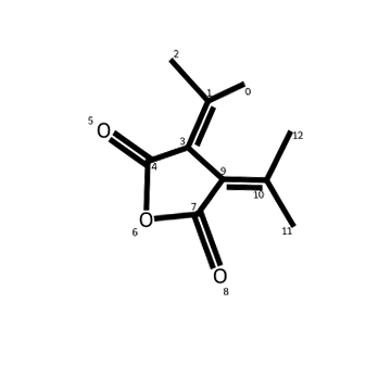 CC(C)=C1C(=O)OC(=O)C1=C(C)C